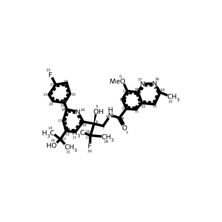 COc1cc(C(=O)NC[C@@](O)(c2cc(C(C)(C)O)cc(-c3ccc(F)cc3)n2)C(C)(C)F)cc2cc(C)nnc12